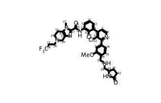 COc1cc(-c2nccc(-c3cccc(NC(=O)c4nc5c(n4C)CCN(CCC(F)(F)F)C5)c3Cl)c2Cl)ccc1CNCC1CCC(=O)N1